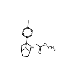 COC(=O)C[C@@H]1C2CCC(CC1c1ccc(I)cc1)N2